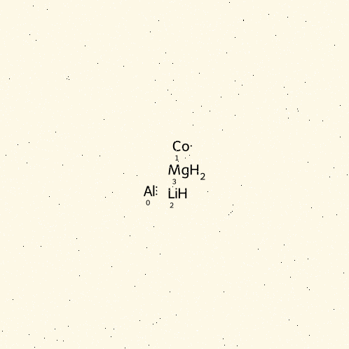 [Al].[Co].[LiH].[MgH2]